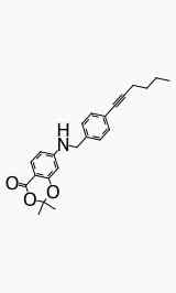 CCCCC#Cc1ccc(CNc2ccc3c(c2)OC(C)(C)OC3=O)cc1